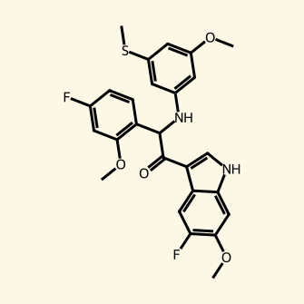 COc1cc(NC(C(=O)c2c[nH]c3cc(OC)c(F)cc23)c2ccc(F)cc2OC)cc(SC)c1